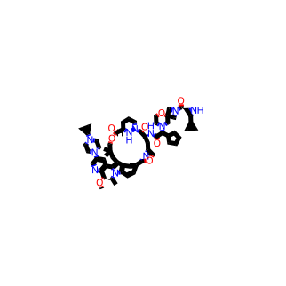 CCn1c(-c2cc(N3CCN(C4CC4)CC3)cnc2[C@H](C)OC)c2c3cc(ccc31)-c1nc(co1)C[C@H](NC(=O)C(C1CCCC1)N1CCOC3(CN(C(=O)[C@@H]4NC4C4CC4)C3)C1)C(=O)N1CCC[C@H](N1)C(=O)OCC(C)(C)C2